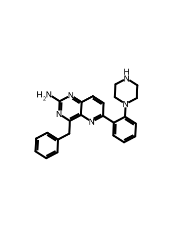 Nc1nc(Cc2ccccc2)c2nc(-c3ccccc3N3CCNCC3)ccc2n1